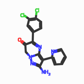 Nc1nn2c(c1-c1ccccn1)N=C(c1ccc(Cl)c(Cl)c1)C(=O)C2